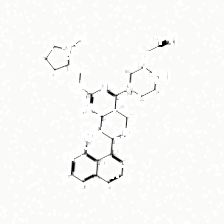 CN1CCC[C@H]1COC1=NC2CC(c3cccc4cccc(Cl)c34)OCC2C(N2CCN[C@@H](CC#N)C2)=N1